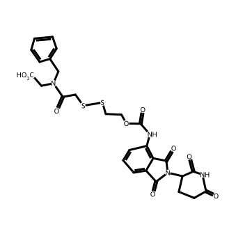 O=C(O)CN(Cc1ccccc1)C(=O)CSSCCOC(=O)Nc1cccc2c1C(=O)N(C1CCC(=O)NC1=O)C2=O